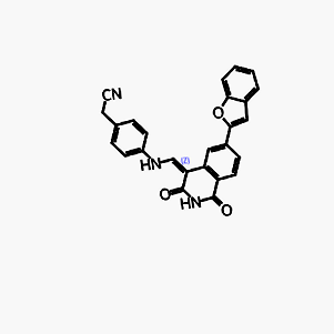 N#CCc1ccc(N/C=C2\C(=O)NC(=O)c3ccc(-c4cc5ccccc5o4)cc32)cc1